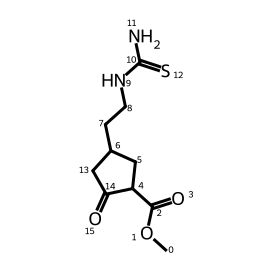 COC(=O)C1CC(CCNC(N)=S)CC1=O